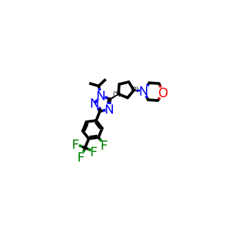 CC(C)n1nc(-c2ccc(C(F)(F)F)c(F)c2)nc1[C@H]1CC[C@@H](N2CCOCC2)C1